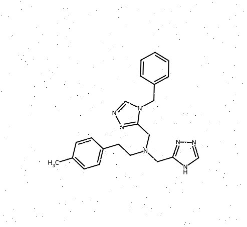 Cc1ccc(CCN(Cc2nnc[nH]2)Cc2nncn2Cc2ccccc2)cc1